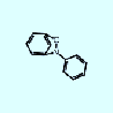 c1ccc(N2Oc3cccc2c3)cc1